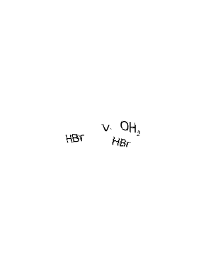 Br.Br.O.[V]